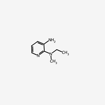 CCN(C)c1ncccc1N